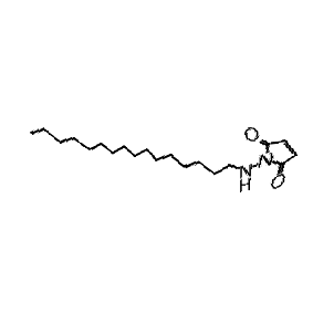 CCCCCCCCCCCCCCCCNN1C(=O)C=CC1=O